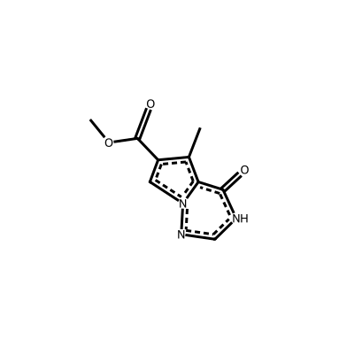 COC(=O)c1cn2nc[nH]c(=O)c2c1C